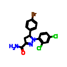 NC(=O)C1=NN(c2ccc(Cl)cc2Cl)C(c2ccc(Br)cc2)C1